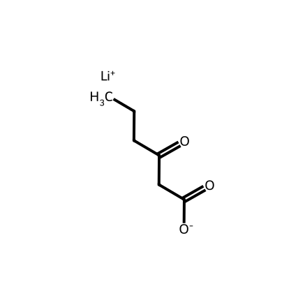 CCCC(=O)CC(=O)[O-].[Li+]